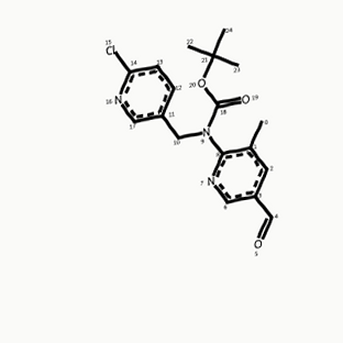 Cc1cc(C=O)cnc1N(Cc1ccc(Cl)nc1)C(=O)OC(C)(C)C